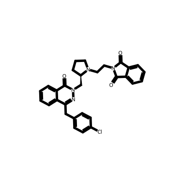 O=C1c2ccccc2C(=O)N1CCN1CCC[C@@H]1Cn1nc(Cc2ccc(Cl)cc2)c2ccccc2c1=O